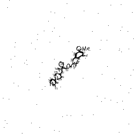 COc1cc(C)c(SN(C)CCOCC(=O)N(C)CC2CCN(c3ccnc(C)c3)CC2)c(C)c1